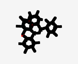 Cc1c(C)c(C)c(N(CN(c2c(C)c(C)c(C)c(C)c2C)c2c(C)c(C)c(C)c(C)c2C)c2c(C)c(C)c(C)c(C)c2C)c(C)c1C